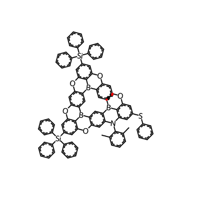 Cc1cccc(C)c1N1c2cc3c(cc2B2c4ccccc4Oc4cc(Sc5ccccc5)cc1c42)B1c2cc4c(cc2Oc2cc([Si](c5ccccc5)(c5ccccc5)c5ccccc5)cc(c21)O3)Oc1cc([Si](c2ccccc2)(c2ccccc2)c2ccccc2)cc2c1B4c1ccccc1O2